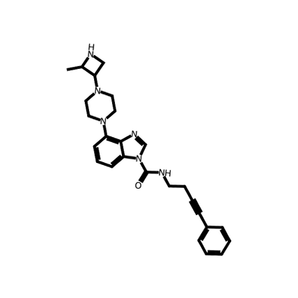 CC1NCC1N1CCN(c2cccc3c2ncn3C(=O)NCCC#Cc2ccccc2)CC1